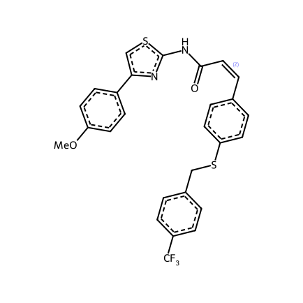 COc1ccc(-c2csc(NC(=O)/C=C\c3ccc(SCc4ccc(C(F)(F)F)cc4)cc3)n2)cc1